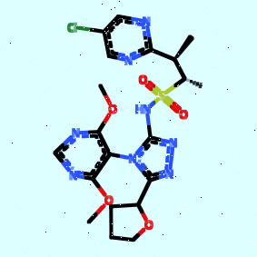 COc1ncnc(OC)c1-n1c(NS(=O)(=O)[C@@H](C)[C@H](C)c2ncc(Cl)cn2)nnc1C1CCCO1